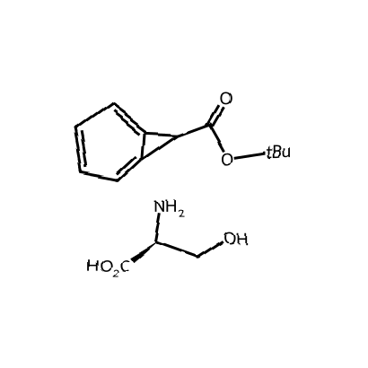 CC(C)(C)OC(=O)C1c2ccccc21.N[C@@H](CO)C(=O)O